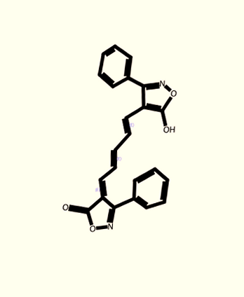 O=C1ON=C(c2ccccc2)\C1=C/C=C/C=C/c1c(-c2ccccc2)noc1O